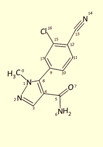 Cn1ncc(C(N)=O)c1-c1ccc(C#N)c(Cl)c1